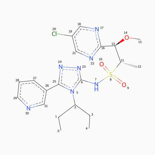 CCC(CC)n1c(NS(=O)(=O)[C@@H](C)[C@H](OC)c2ncc(Cl)cn2)nnc1-c1cccnc1